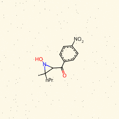 CCCC1(C)C(C(=O)c2ccc([N+](=O)[O-])cc2)N1O